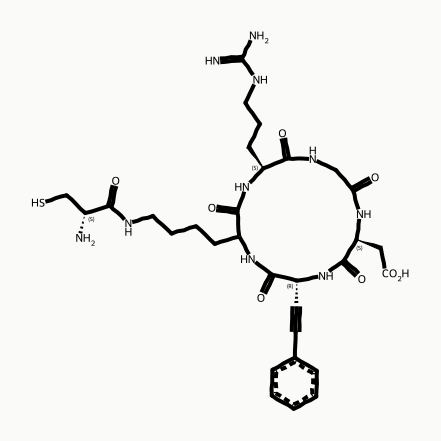 N=C(N)NCCC[C@@H]1NC(=O)C(CCCCNC(=O)[C@H](N)CS)NC(=O)[C@@H](C#Cc2ccccc2)NC(=O)[C@H](CC(=O)O)NC(=O)CNC1=O